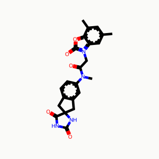 Cc1cc(C)c2oc(=O)n(CC(=O)N(C)c3ccc4c(c3)CC3(C4)NC(=O)NC3=O)c2c1